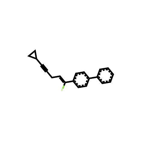 FC(=CCC#CC1CC1)c1ccc(-c2ccccc2)cc1